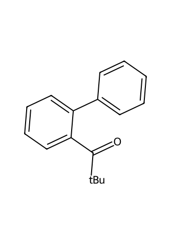 CC(C)(C)C(=O)c1ccccc1-c1ccccc1